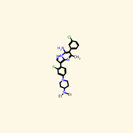 CCN(CC)C1CCN(c2ccc(-c3cnn4c(N)c(-c5cccc(Cl)c5)c(C)nc34)c(F)c2)CC1